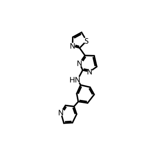 c1cncc(-c2cccc(Nc3nccc(-c4nccs4)n3)c2)c1